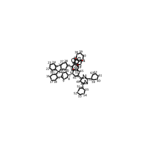 c1ccc(-c2cc(-c3ccc4c(c3)C3(c5ccccc5-4)c4ccccc4-c4ccc(-c5cccc6c5oc5ccccc56)cc43)cc(-c3cc(-c4ccccc4)nc(-c4ccccc4)n3)c2)cc1